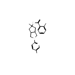 C=C(NC1(C)CC2CN(c3ccc(Br)cn3)CC2C1)c1ccccc1C